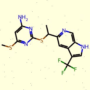 CSc1cc(N)nc(SC(C)c2cc3c(C(F)(F)F)c[nH]c3cn2)n1